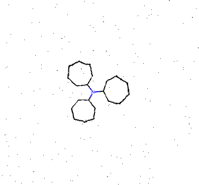 C1CCCC(N(C2CCCCCC2)C2CCCCCC2)CC1